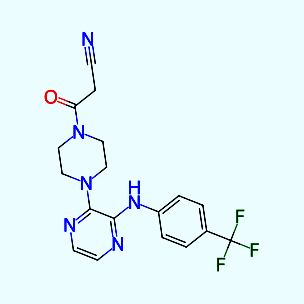 N#CCC(=O)N1CCN(c2nccnc2Nc2ccc(C(F)(F)F)cc2)CC1